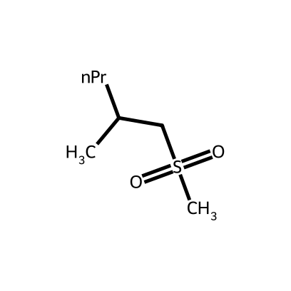 CCCC(C)CS(C)(=O)=O